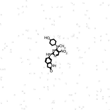 CN(c1nc(Nc2ccc3c(c2)NC(=O)C3)ncc1[N+](=O)[O-])[C@H]1CC[C@H](O)CC1